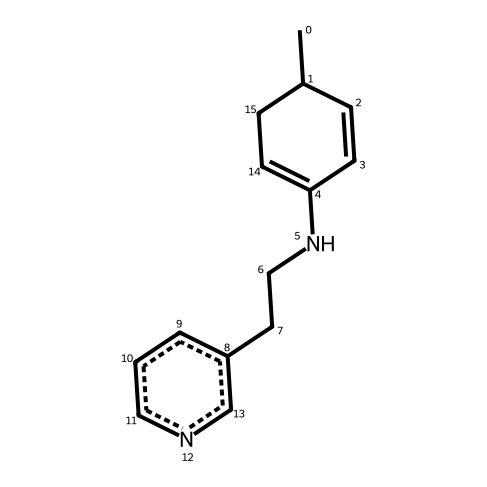 CC1C=CC(NCCc2cccnc2)=CC1